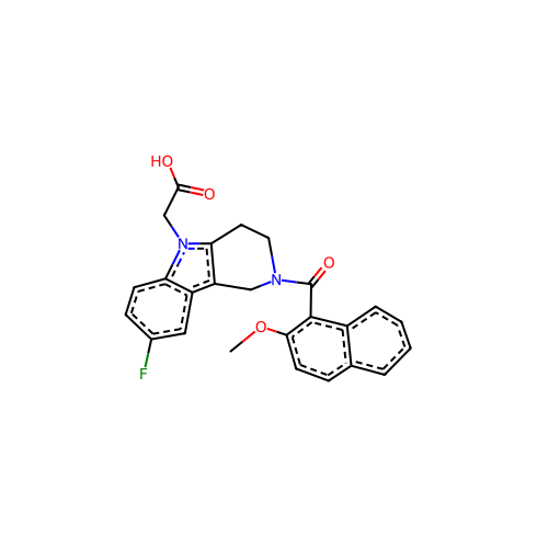 COc1ccc2ccccc2c1C(=O)N1CCc2c(c3cc(F)ccc3n2CC(=O)O)C1